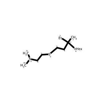 CCCCCCC(C)(CC)CCSCCN(C)C